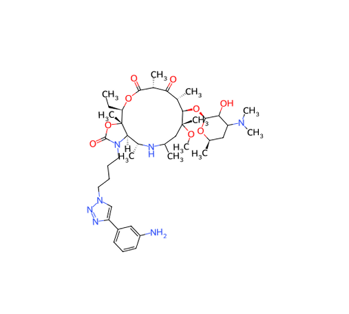 CC[C@H]1OC(=O)[C@H](C)C(=O)[C@H](C)[C@@H](O[C@@H]2O[C@H](C)CC(N(C)C)C2O)[C@](C)(OC)CC(C)N[C@H](C)[C@H]2N(CCCCn3cc(-c4cccc(N)c4)nn3)C(=O)O[C@]12C